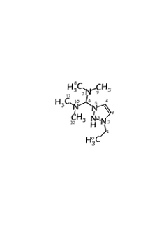 CCN1C=CN(C(N(C)C)N(C)C)N1